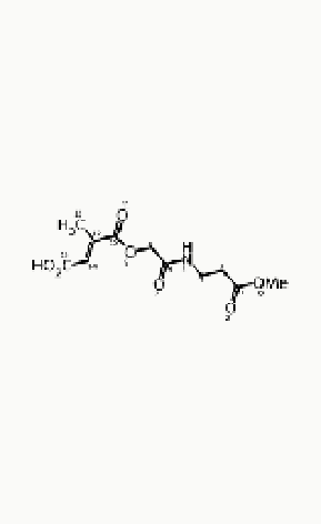 COC(=O)CCNC(=O)COC(=O)C(C)=CC(=O)O